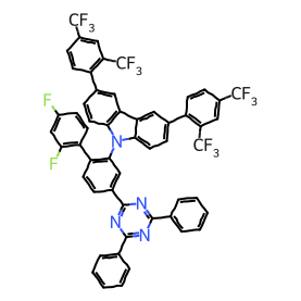 Fc1ccc(-c2ccc(-c3nc(-c4ccccc4)nc(-c4ccccc4)n3)cc2-n2c3ccc(-c4ccc(C(F)(F)F)cc4C(F)(F)F)cc3c3cc(-c4ccc(C(F)(F)F)cc4C(F)(F)F)ccc32)c(F)c1